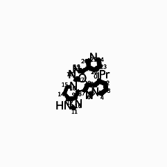 CC(C)c1cccn2nc([C@H]3c4nc[nH]c4CCN3c3nnc(-c4cccnc4)o3)cc12